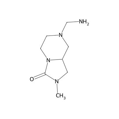 CN1CC2CN(CN)CCN2C1=O